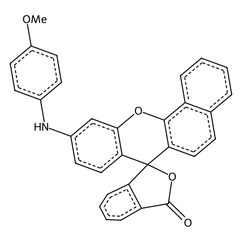 COc1ccc(Nc2ccc3c(c2)Oc2c(ccc4ccccc24)C32OC(=O)c3ccccc32)cc1